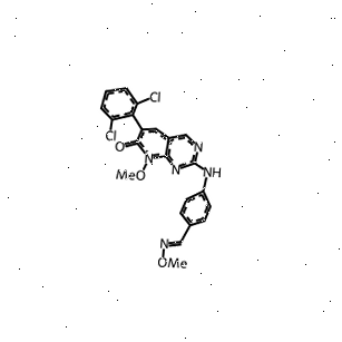 CON=Cc1ccc(Nc2ncc3cc(-c4c(Cl)cccc4Cl)c(=O)n(OC)c3n2)cc1